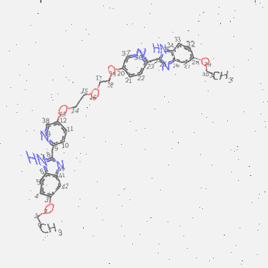 CCOc1ccc2[nH]c(-c3ccc(OCCOCCOc4ccc(-c5nc6cc(OCC)ccc6[nH]5)nc4)cn3)nc2c1